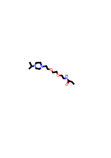 CCC(=O)NCCOCCOCCN1CCN(C(C)C)CC1